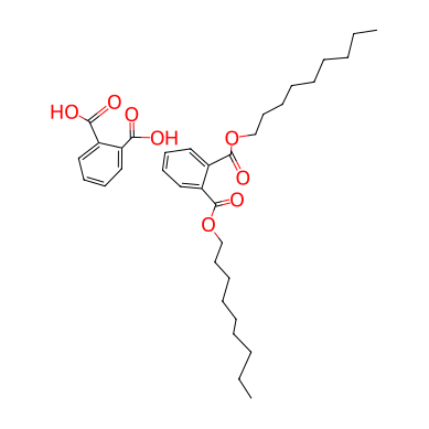 CCCCCCCCCOC(=O)c1ccccc1C(=O)OCCCCCCCCC.O=C(O)c1ccccc1C(=O)O